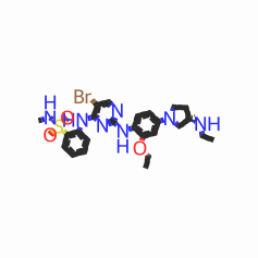 CCN[C@@H]1CCN(c2ccc(Nc3ncc(Br)c(Nc4ccccc4S(=O)(=O)NC)n3)c(OCC)c2)C1